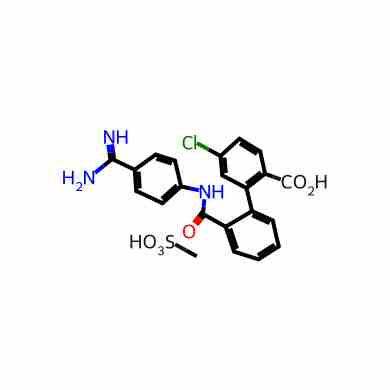 CS(=O)(=O)O.N=C(N)c1ccc(NC(=O)c2ccccc2-c2cc(Cl)ccc2C(=O)O)cc1